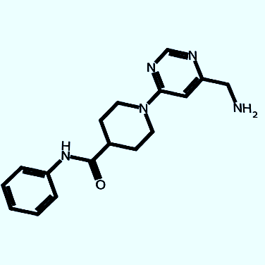 NCc1cc(N2CCC(C(=O)Nc3ccccc3)CC2)ncn1